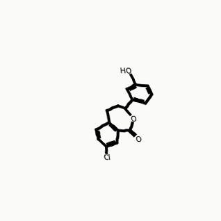 O=C1OC(c2cccc(O)c2)CCc2ccc(Cl)cc21